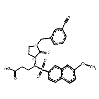 COc1ccc2ccc(S(=O)(=O)N(CCC(=O)O)[C@H]3CCN(Cc4cccc(C#N)c4)C3=O)cc2c1